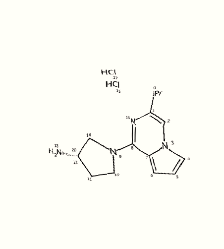 CC(C)c1cn2cccc2c(N2CC[C@H](N)C2)n1.Cl.Cl